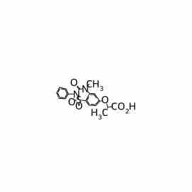 C[C@@H](Oc1ccc2c(c1)N(C)C(=O)N(c1ccccc1)S2(=O)=O)C(=O)O